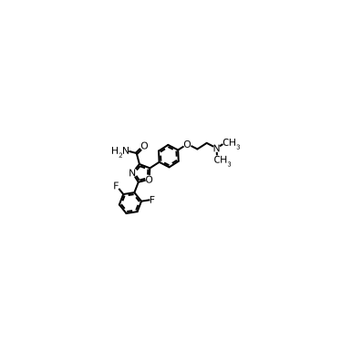 CN(C)CCOc1ccc(-c2oc(-c3c(F)cccc3F)nc2C(N)=O)cc1